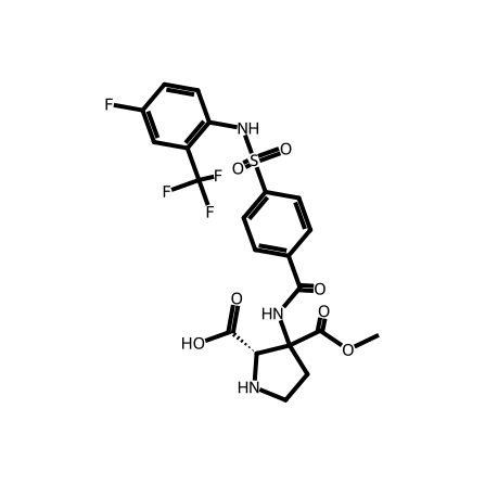 COC(=O)C1(NC(=O)c2ccc(S(=O)(=O)Nc3ccc(F)cc3C(F)(F)F)cc2)CCN[C@@H]1C(=O)O